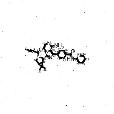 CC#CC(=O)N1CC2C([C@H]1c1nc(-c3ccc(C(=O)Nc4ccccn4)cc3)c3c(N)nccn13)C2(C)C